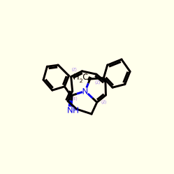 C=C(c1ccccc1)N(C(=N)c1ccccc1)\C1=C/C=C\C=C/C=C/CC1